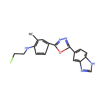 N#Cc1cc(-c2nnc(-c3ccc4[nH]cnc4c3)o2)ccc1NCCF